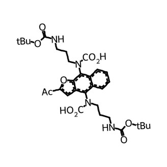 CC(=O)c1cc2c(N(CCCNC(=O)OC(C)(C)C)C(=O)O)c3ccccc3c(N(CCCNC(=O)OC(C)(C)C)C(=O)O)c2o1